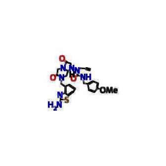 C#CCN(C(=O)NCc1ccc(OC)cc1)N1CC(=O)N2CC(=O)N(Cc3cccc4sc(N)nc34)C[C@@H]21